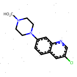 O=C(O)N1CCN(c2ccc3cc(Cl)cnc3c2)CC1